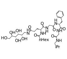 CCCCCCC(=O)N[C@@H](CCC(=O)NC[C@H](O)[C@@H](O)[C@H](O)[C@H](O)CO)C(=O)NCC(=O)N[C@@H](Cc1ccccc1)C(=O)NCC(=O)NCC(C)C